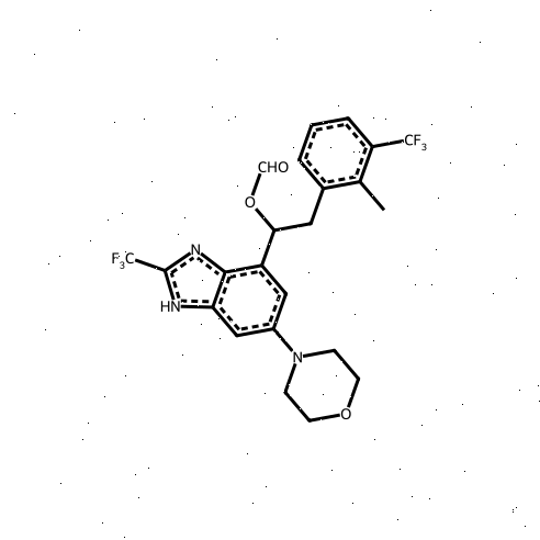 Cc1c(CC(OC=O)c2cc(N3CCOCC3)cc3[nH]c(C(F)(F)F)nc23)cccc1C(F)(F)F